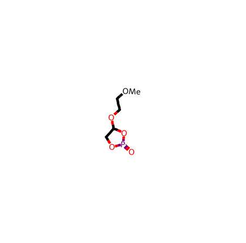 COCCOC1CO[P](=O)O1